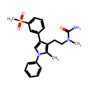 Cc1c(CCN(C)C(N)=O)c(-c2cccc(S(C)(=O)=O)c2)cn1-c1ccccc1